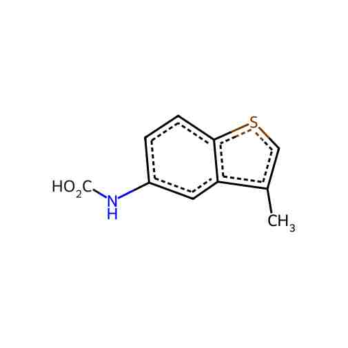 Cc1csc2ccc(NC(=O)O)cc12